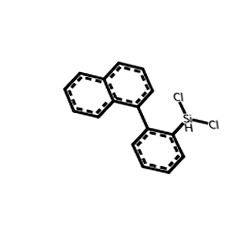 Cl[SiH](Cl)c1ccccc1-c1cccc2ccccc12